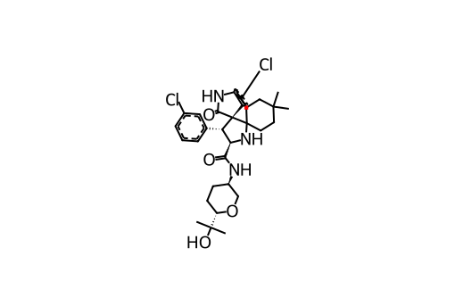 CC1(C)CCC2(CC1)N[C@@H](C(=O)N[C@@H]1CC[C@@H](C(C)(C)O)OC1)[C@H](c1cccc(Cl)c1)[C@]21C(=O)Nc2cc(Cl)ccc21